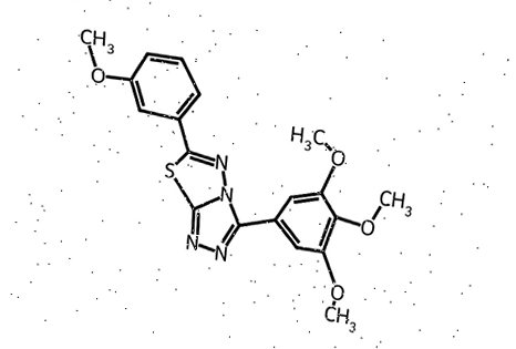 COc1cccc(-c2nn3c(-c4cc(OC)c(OC)c(OC)c4)nnc3s2)c1